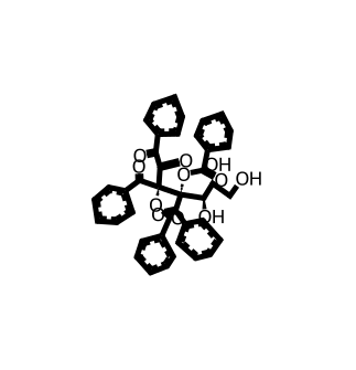 O=C(O[C@@](C(=O)C(=O)c1ccccc1)(C(=O)c1ccccc1)[C@](OC(=O)c1ccccc1)(C(=O)c1ccccc1)[C@H](O)[C@H](O)CO)c1ccccc1